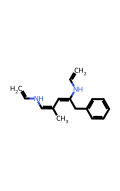 C=CN/C=C(C)\C=C(/Cc1ccccc1)NC=C